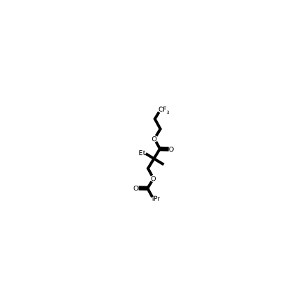 CCC(C)(COC(=O)C(C)C)C(=O)OCCC(F)(F)F